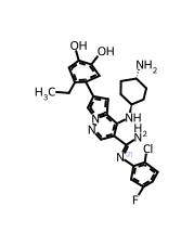 CCc1cc(O)c(O)cc1-c1cc2c(N[C@H]3CC[C@H](N)CC3)c(/C(N)=N/c3cc(F)ccc3Cl)cnn2c1